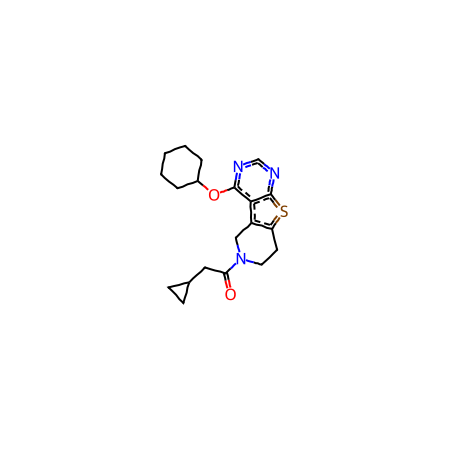 O=C(CC1CC1)N1CCc2sc3ncnc(OC4CCCCC4)c3c2C1